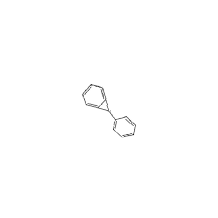 c1ccc([C]2c3ccccc32)cc1